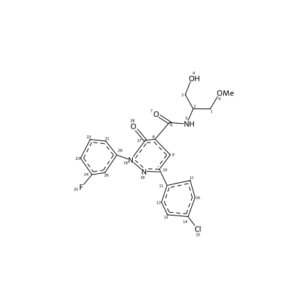 COCC(CO)NC(=O)c1cc(-c2ccc(Cl)cc2)nn(-c2cccc(F)c2)c1=O